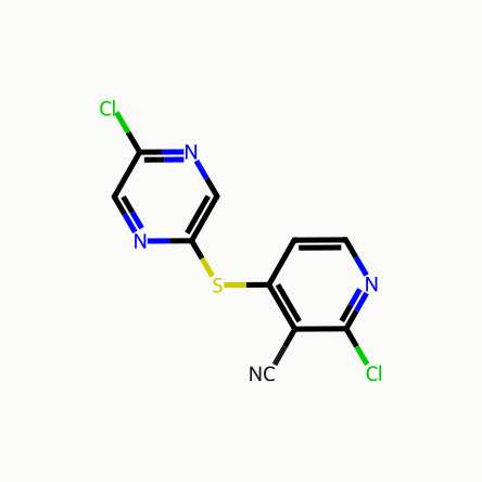 N#Cc1c(Sc2cnc(Cl)cn2)ccnc1Cl